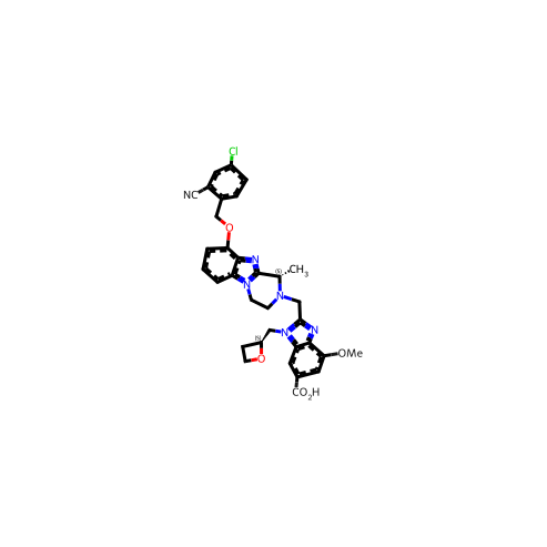 COc1cc(C(=O)O)cc2c1nc(CN1CCn3c(nc4c(OCc5ccc(Cl)cc5C#N)cccc43)[C@@H]1C)n2C[C@@H]1CCO1